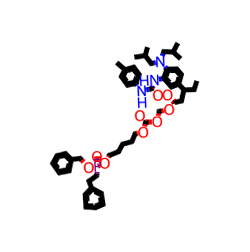 CCC(CC(=O)OCOC(=O)OCCCCCOP(=O)(CCc1ccccc1)OCc1ccccc1)c1ccc(N(CC(C)C)CC(C)C)c(NC(=O)Nc2ccc(C)cc2)c1